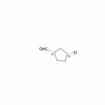 O=C[C@H]1CC[C@@H](Cl)C1